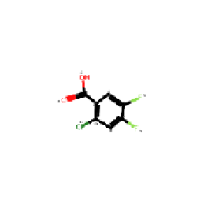 O=C(O)c1cc(F)c(F)cc1Cl